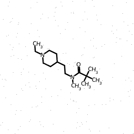 CCN1CCC(CCN(C)C(=O)C(C)(C)C)CC1